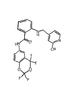 N#Cc1cc(CNc2ccccc2C(=O)Nc2ccc3c(c2)C(F)(F)OC(F)(F)O3)ccn1